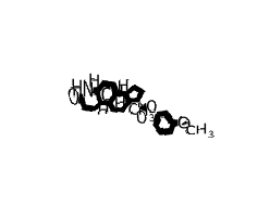 COc1cccc(OC(=O)[C@H]2CC[C@H]3[C@@H]4CC[C@H]5NC(=O)C=C[C@]5(C)[C@H]4CC[C@]23C)c1